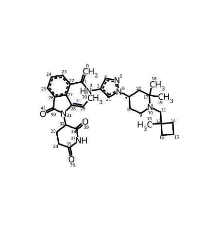 C=C(Nc1cnn(C2CCN(CC3(C)CCC3)C(C)(C)C2)c1)c1cccc2c1/C(=C\C)N(C1CCC(=O)NC1=O)C2=O